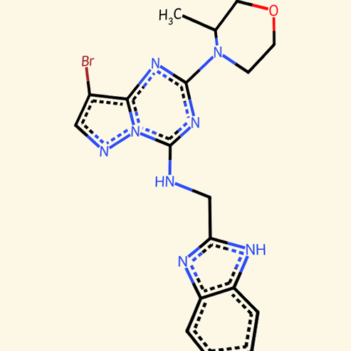 CC1COCCN1c1nc(NCc2nc3ccccc3[nH]2)n2ncc(Br)c2n1